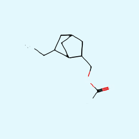 CCC(=O)OCC1CC2CC(CC#N)C1C2